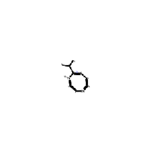 CC(C)/C1=C/C=C=NC=C=N1